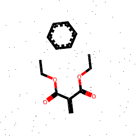 C=C(C(=O)OCC)C(=O)OCC.c1ccccc1